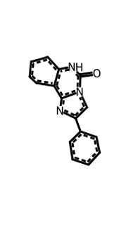 O=c1[nH]c2ccccc2c2nc(-c3ccccc3)cn12